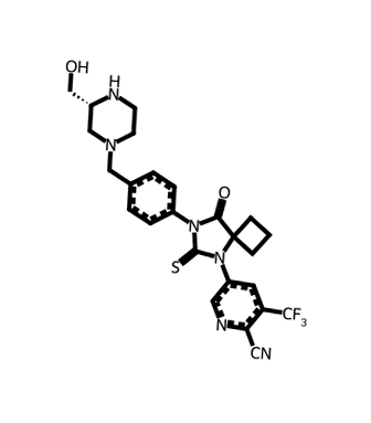 N#Cc1ncc(N2C(=S)N(c3ccc(CN4CCN[C@@H](CO)C4)cc3)C(=O)C23CCC3)cc1C(F)(F)F